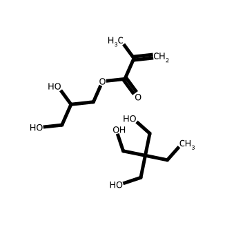 C=C(C)C(=O)OCC(O)CO.CCC(CO)(CO)CO